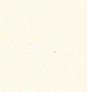 CC1(C)c2ccccc2-c2ccc(-c3ccc4c(c3)c3c(N(c5ccc(-c6ccccc6)cc5)c5ccc6ccccc6c5)c5c(cc3n4-c3ccccc3)oc3ccccc35)cc21